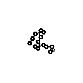 c1ccc(-c2ccc(-c3cccc(N(c4cccc(-c5cccc(N(c6ccc7cc(-c8cccc9oc%10ccccc%10c89)ccc7c6)c6cccc7ccccc67)c5)c4)c4cccc5ccccc45)c3)cc2)cc1